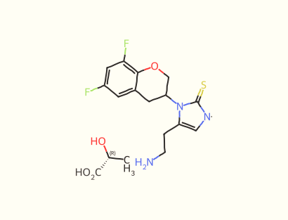 C[C@@H](O)C(=O)O.NCCC1=C[N]C(=S)N1C1COc2c(F)cc(F)cc2C1